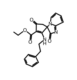 CCOC(=O)C1=C(NCCc2ccccc2)C2(CC1=O)C(=O)N=C1C=CC=CN12